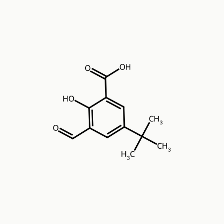 CC(C)(C)c1cc(C=O)c(O)c(C(=O)O)c1